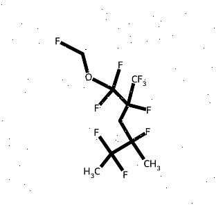 CC(F)(F)C(C)(F)CC(F)(C(F)(F)F)C(F)(F)OCF